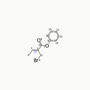 C/C=C(\CBr)C(=O)Oc1ccccc1